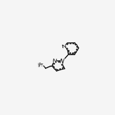 CC(C)Cc1ccn(-c2ccccn2)n1